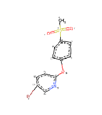 CS(=O)(=O)c1ccc(Oc2ccc(Br)cn2)cc1